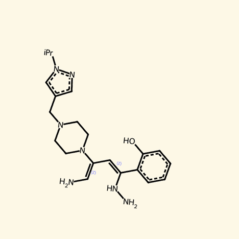 CC(C)n1cc(CN2CCN(C(/C=C(\NN)c3ccccc3O)=C\N)CC2)cn1